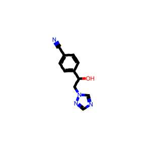 N#Cc1ccc(C(O)Cn2cncn2)cc1